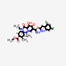 CCN1C(=O)c2c(O)c(=O)c(C(=N)SC(=N)Cc3ccc(F)cc3F)cn2N(C)C12CC[C@@H](C(=O)OC)[C@H](C)C2